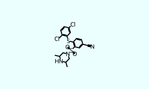 CC1CN(S(=O)(=O)c2cc(C#N)ccc2Sc2cc(Cl)ccc2Cl)CC(C)N1